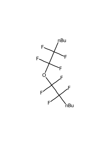 CCCCC(F)(F)C(F)(F)OC(F)(F)C(F)(F)CCCC